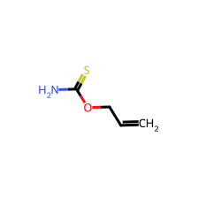 C=CCOC(N)=S